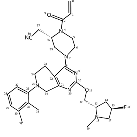 C=CC(=O)N1CCN(c2nc(OC[C@@H]3C[C@@H](F)CN3C)nc3c2CCN(c2cccc(C)c2C)C3)C[C@@H]1CC#N